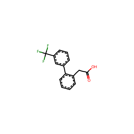 O=C(O)Cc1ccccc1-c1cccc(C(F)(F)F)c1